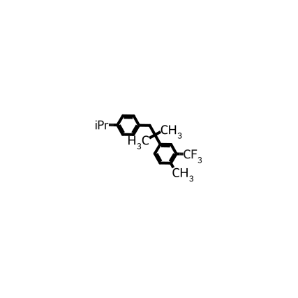 Cc1ccc(C(C)(C)Cc2ccc(C(C)C)cc2)cc1C(F)(F)F